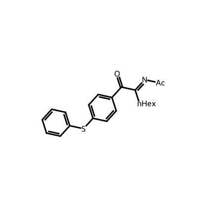 CCCCCC/C(=N\C(C)=O)C(=O)c1ccc(Sc2ccccc2)cc1